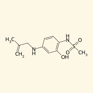 C=C(C)CNc1ccc(NS(C)(=O)=O)c(O)c1